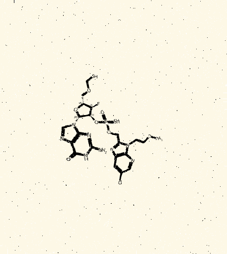 Nc1nc2c(ncn2[C@@H]2O[C@H](COCS)[C@@H](F)[C@H]2OP(=O)(S)OCc2nc3cc(Cl)cnc3n2CCOP)c(=O)[nH]1